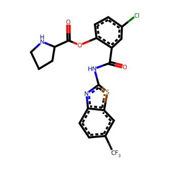 O=C(Nc1nc2ccc(C(F)(F)F)cc2s1)c1cc(Cl)ccc1OC(=O)C1CCCN1